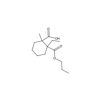 CCCOC(=O)C1(CC)CCCCC1(C)C(=O)O